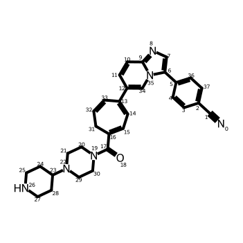 N#Cc1ccc(-c2cnc3ccc(C4=CC=C(C(=O)N5CCN(C6CCNCC6)CC5)CC=C4)cn23)cc1